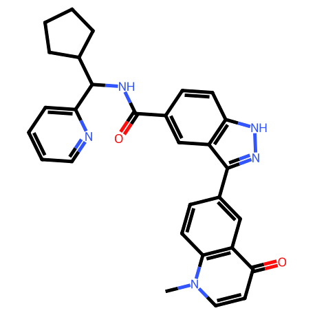 Cn1ccc(=O)c2cc(-c3n[nH]c4ccc(C(=O)NC(c5ccccn5)C5CCCC5)cc34)ccc21